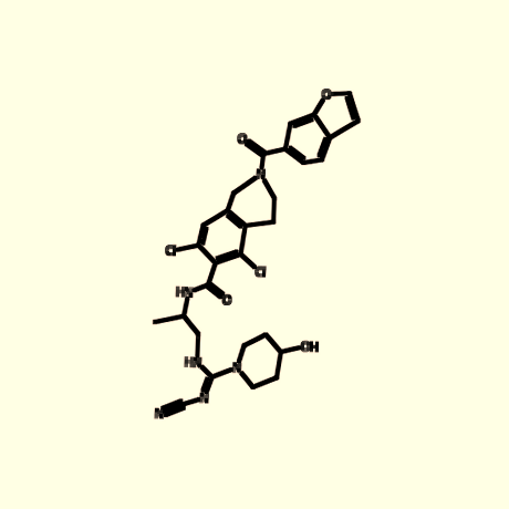 CC(CN/C(=N\C#N)N1CCC(O)CC1)NC(=O)c1c(Cl)cc2c(c1Cl)CCN(C(=O)c1ccc3ccoc3c1)C2